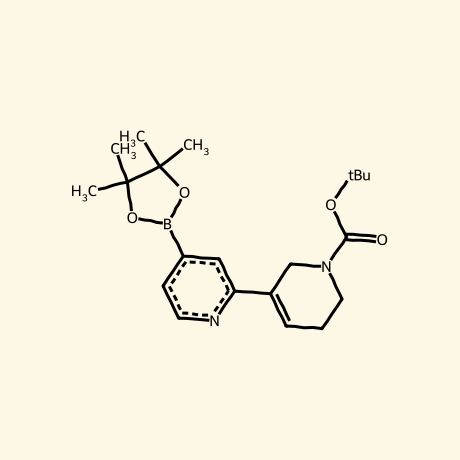 CC(C)(C)OC(=O)N1CCC=C(c2cc(B3OC(C)(C)C(C)(C)O3)ccn2)C1